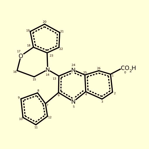 O=C(O)c1ccc2nc(-c3ccccc3)c(N3CCOc4ccccc43)nc2c1